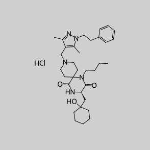 CCCCN1C(=O)[C@@H](CC2(O)CCCCC2)NC(=O)C12CCN(Cc1c(C)nn(CCc3ccccc3)c1C)CC2.Cl